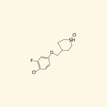 Fc1cc(OCC2CC[SiH](Cl)CC2)ccc1Cl